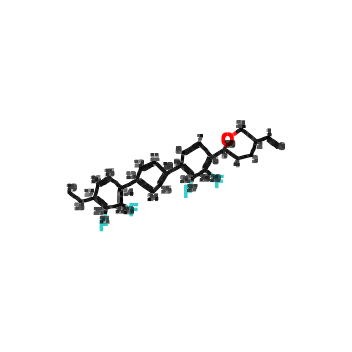 C=CC1CCC(c2ccc(-c3ccc(-c4ccc(CC)c(F)c4F)cc3)c(F)c2F)OC1